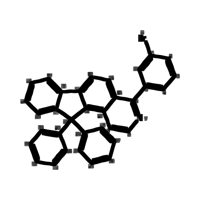 Brc1cccc(-c2nccc3c4c(ccc23)-c2ccccc2C4(c2ccccc2)c2ccccc2)c1